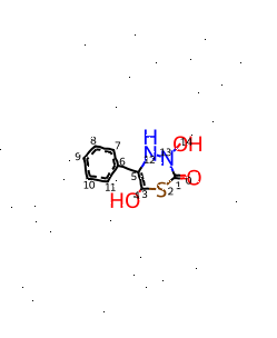 O=C1SC(O)=C(c2ccccc2)NN1O